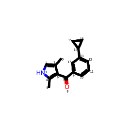 Cc1c[nH]c(C)c1C(=O)c1cccc(C2CC2)c1